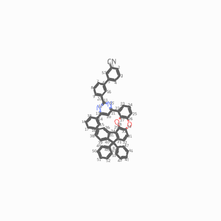 N#Cc1cccc(-c2cccc(-c3nc(-c4ccccc4)cc(-c4cccc5c4Oc4c(ccc6c4-c4ccccc4C6(c4ccccc4)c4ccccc4)O5)n3)c2)c1